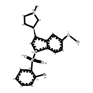 CCOc1ccc2c(c1)c([C@H]1CCN(C)C1)cn2S(=O)(=O)c1ccccc1Br